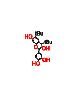 CC(C)(C)c1cc2c(cc1O)OC(c1ccc(O)c(O)c1)C(O)C2C(C)(C)C